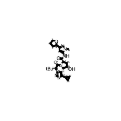 Cn1nc(C2CCCO2)cc1NC(=O)[C@H]1C[C@H](O)CN1C(=O)[C@H](n1cc(C2CC2)nn1)C(C)(C)C